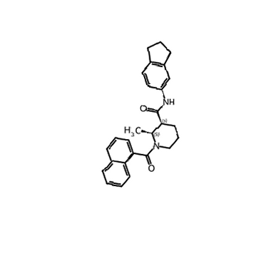 C[C@H]1[C@@H](C(=O)Nc2ccc3c(c2)CCC3)CCCN1C(=O)c1cccc2ccccc12